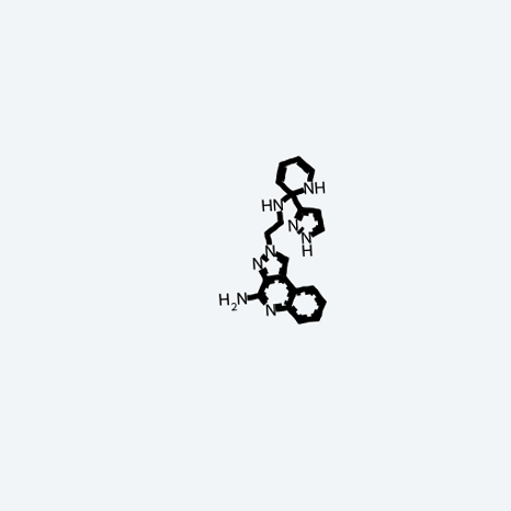 Nc1nc2ccccc2c2cn(CCNC3(c4cc[nH]n4)C=CC=CN3)nc12